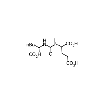 CCCCC(NC(=O)NC(CCC(=O)O)C(=O)O)C(=O)O